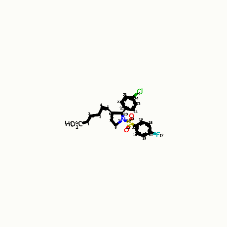 O=C(O)CCC/C=C\[C@@H]1CCN(S(=O)(=O)c2ccc(F)cc2)[C@@H]1c1ccc(Cl)cc1